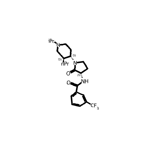 CCC[C@H]1CN(C(C)C)CC[C@@H]1N1CC[C@H](NC(=O)c2cccc(C(F)(F)F)c2)C1=O